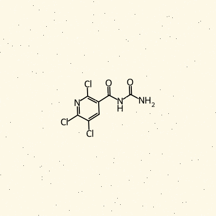 NC(=O)NC(=O)c1cc(Cl)c(Cl)nc1Cl